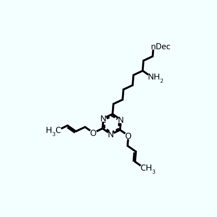 C/C=C/COc1nc(CCCCCC(N)CCCCCCCCCCCC)nc(OC/C=C/C)n1